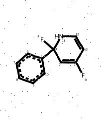 FC1=CC(F)(c2ccccc2)NC=C1